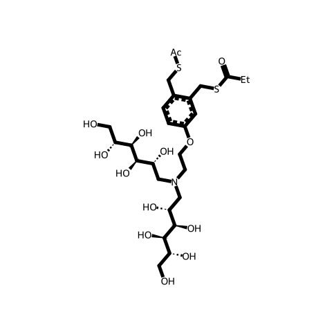 CCC(=O)SCc1cc(OCCN(C[C@@H](O)[C@@H](O)[C@H](O)[C@H](O)CO)C[C@@H](O)[C@@H](O)[C@H](O)[C@H](O)CO)ccc1CSC(C)=O